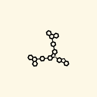 c1ccc2c(c1)Cc1cc(-n3c4ccc(-c5ccc(-c6cc7ccccc7c7ccccc67)cc5)cc4c4cc(-c5ccc(-c6cc7ccccc7c7ccccc67)cc5)ccc43)ccc1-2